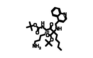 CCCCCC(NCc1ccnc2ccccc12)(C(=O)OC(C)(C)C)C(=O)[C@H](CCCCN)NC(=O)OC(C)(C)C